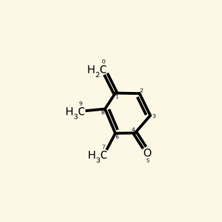 C=C1C=CC(=O)C(C)=C1C